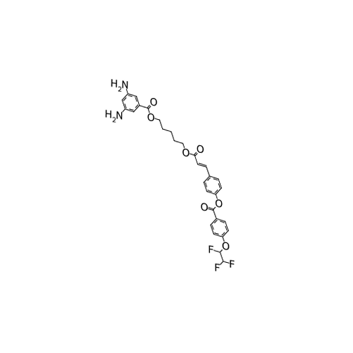 Nc1cc(N)cc(C(=O)OCCCCCOC(=O)C=Cc2ccc(OC(=O)c3ccc(OC(F)C(F)F)cc3)cc2)c1